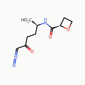 [N-]=[N+]=CC(=O)CC[C@H](NC(=O)[C@H]1CCO1)C(=O)O